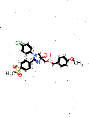 COc1ccc(COCC2(O)CN(c3ccc(Cl)cc3)C(c3ccc(S(C)(=O)=O)cc3)=N2)cc1